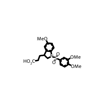 COc1ccc2c(c1)C(CCC(=O)O)CN2S(=O)(=O)c1ccc(OC)c(OC)c1